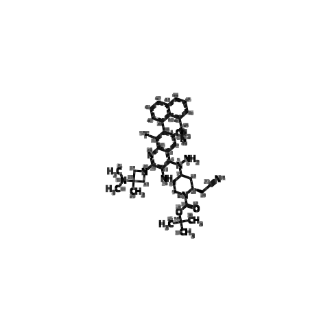 Cc1cc2c(N(N)C3CCN(C(=O)OC(C)(C)C)[C@H](CC#N)C3)c(N)c(N3CC(C)(N(C)C)C3)nc2c(F)c1-c1cccc2cccc(C#N)c12